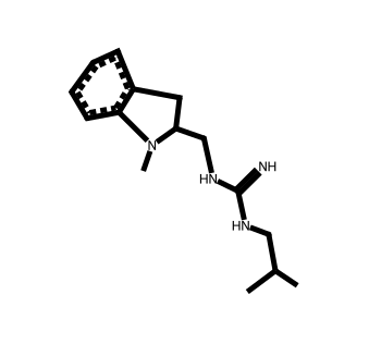 CC(C)CNC(=N)NCC1Cc2ccccc2N1C